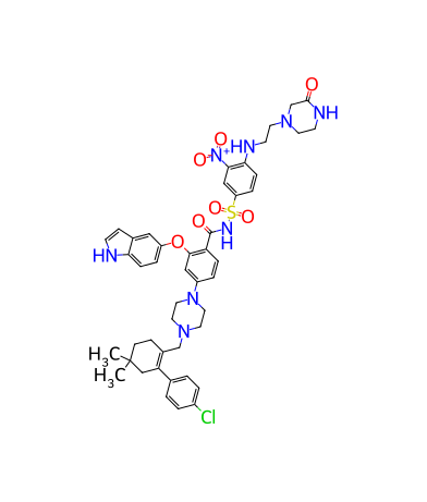 CC1(C)CCC(CN2CCN(c3ccc(C(=O)NS(=O)(=O)c4ccc(NCCN5CCNC(=O)C5)c([N+](=O)[O-])c4)c(Oc4ccc5[nH]ccc5c4)c3)CC2)=C(c2ccc(Cl)cc2)C1